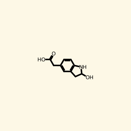 O=C(O)Cc1ccc2c(c1)CC(O)N2